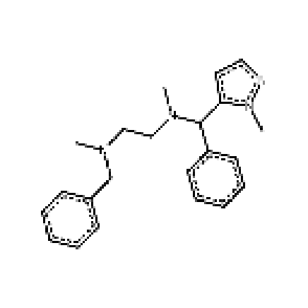 CN(CCN(C)C(c1ccccc1)c1ccnn1C)Cc1ccccc1